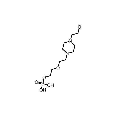 [O]CCN1CCN(CCOCCOP(=O)(O)O)CC1